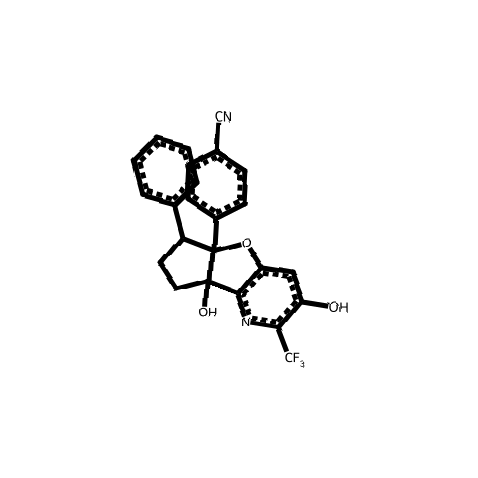 N#Cc1ccc(C23Oc4cc(O)c(C(F)(F)F)nc4C2(O)CCC3c2ccccc2)cc1